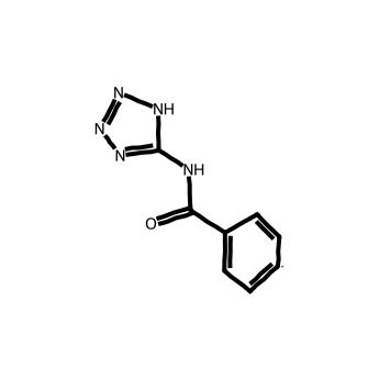 O=C(Nc1nnn[nH]1)c1cc[c]cc1